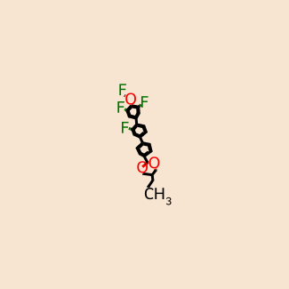 CCCC1COC(c2ccc(-c3ccc(-c4cc(F)c(OCF)c(F)c4)c(F)c3)cc2)OC1